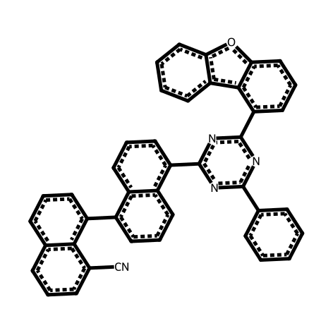 N#Cc1cccc2cccc(-c3cccc4c(-c5nc(-c6ccccc6)nc(-c6cccc7oc8ccccc8c67)n5)cccc34)c12